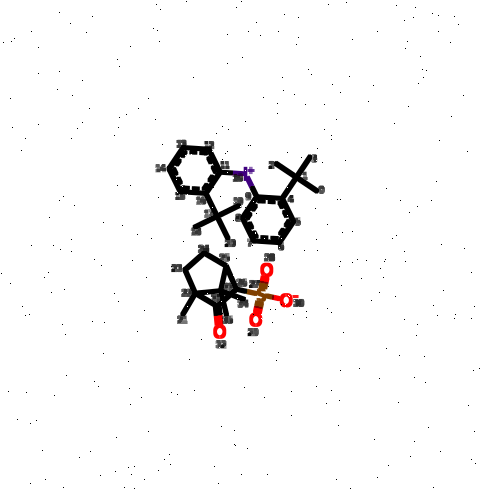 CC(C)(C)c1ccccc1[I+]c1ccccc1C(C)(C)C.CC12CCC(C(S(=O)(=O)[O-])C1=O)C2(C)C